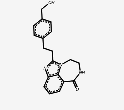 O=C1NCCn2c(CCc3ccc(CO)cc3)nc3cccc1c32